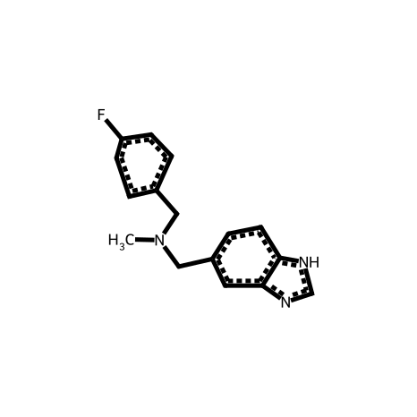 CN(Cc1ccc(F)cc1)Cc1ccc2[nH]cnc2c1